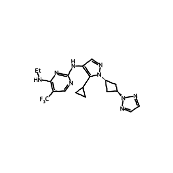 CCNc1nc(Nc2cnn([C@H]3C[C@H](n4nccn4)C3)c2C2CC2)ncc1C(F)(F)F